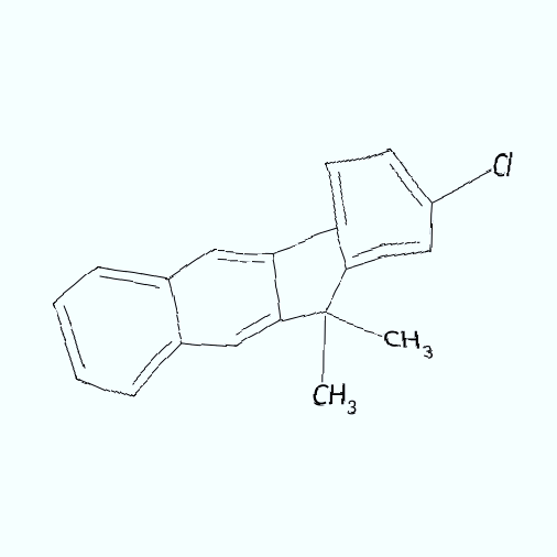 CC1(C)c2cc(Cl)ccc2-c2cc3ccccc3cc21